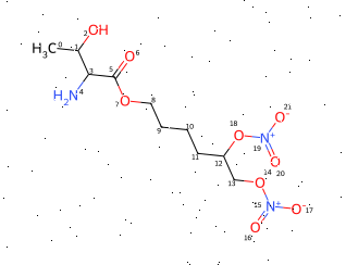 CC(O)C(N)C(=O)OCCCCC(CO[N+](=O)[O-])O[N+](=O)[O-]